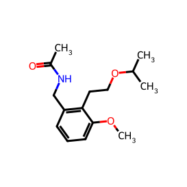 COc1cccc(CNC(C)=O)c1CCOC(C)C